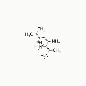 CC(C)=C(P)/C=C(N)\C(N)=C(/C)N